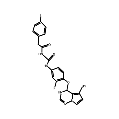 CC(C)c1ccn2c1C(Oc1ccc(NC(=S)NC(=O)Cc3ccc(F)cc3)cc1F)NC=N2